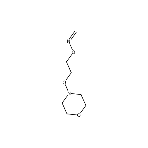 C=NOCCON1CCOCC1